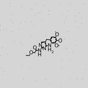 CCOCC(=O)Nc1ncc(Cc2cc(OC)c(OC)c(OC)c2)c(N)n1